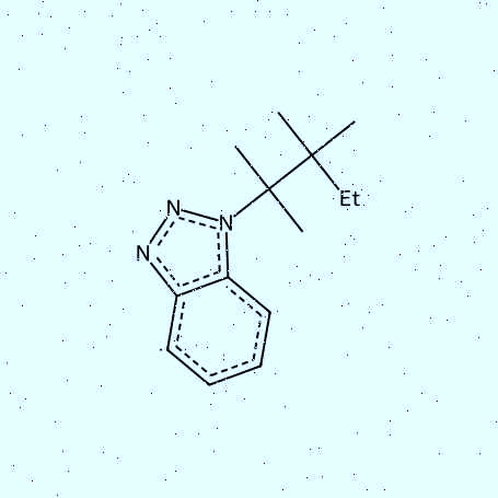 CCC(C)(C)C(C)(C)n1nnc2[c]cccc21